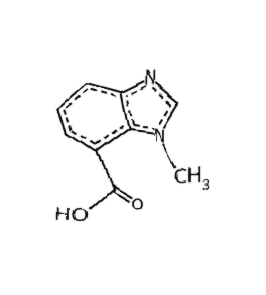 Cn1cnc2cccc(C(=O)O)c21